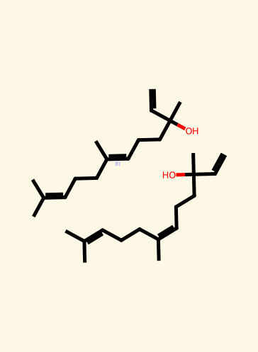 C=CC(C)(O)CC/C=C(\C)CCC=C(C)C.C=CC(C)(O)CCC=C(C)CCC=C(C)C